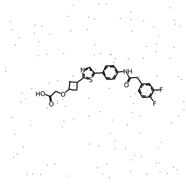 O=C(O)COC1CC(c2ncc(-c3ccc(NC(=O)Cc4ccc(F)c(F)c4)cc3)s2)C1